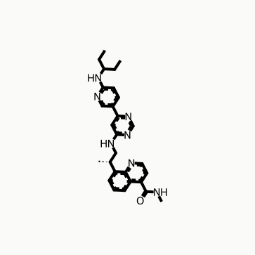 CCC(CC)Nc1ccc(-c2cc(NC[C@@H](C)c3cccc4c(C(=O)NC)ccnc34)ncn2)cn1